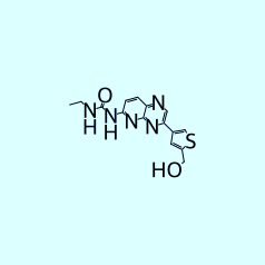 CCNC(=O)Nc1ccc2ncc(-c3csc(CO)c3)nc2n1